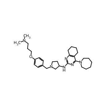 CN(C)CCCOc1ccc(CN2CCC(Nc3nc4c(c(N5CCCCCC5)n3)CCCC4)C2)cc1